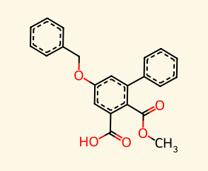 COC(=O)c1c(C(=O)O)cc(OCc2ccccc2)cc1-c1ccccc1